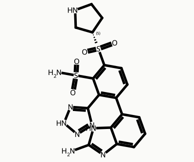 Nc1nc2cccc(-c3ccc(S(=O)(=O)[C@H]4CCNC4)c(S(N)(=O)=O)c3-c3nn[nH]n3)c2[nH]1